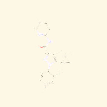 O=C(Nc1ccc(F)cn1)c1nn(-c2ccc(F)cc2F)c2c1C[C@H]1C[C@@H]21